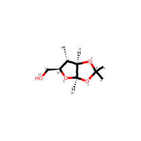 C[C@@H]1[C@H]2OC(C)(C)O[C@H]2O[C@H]1CO